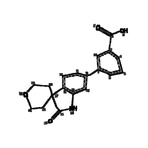 O=C(O)c1cccc(-c2ccc3c(c2)NC(=O)C32CCOCC2)c1